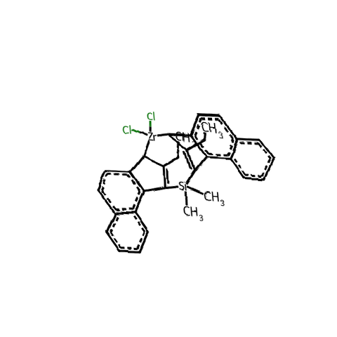 CCC1=C2c3c(ccc4ccccc34)[CH]1[Zr]([Cl])([Cl])[CH]1C(CC)=C(c3c1ccc1ccccc31)[Si]2(C)C